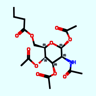 CCCC(=O)OC[C@H]1O[C@@H](OC(C)=O)[C@@H](NC(C)=O)[C@@H](OC(C)=O)[C@@H]1OC(C)=O